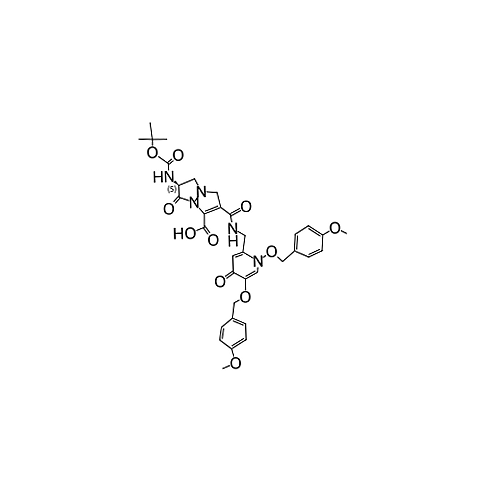 COc1ccc(COc2cn(OCc3ccc(OC)cc3)c(CNC(=O)C3=C(C(=O)O)N4C(=O)[C@@H](NC(=O)OC(C)(C)C)CN4C3)cc2=O)cc1